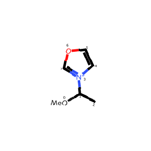 COC(C)[n+]1ccoc1